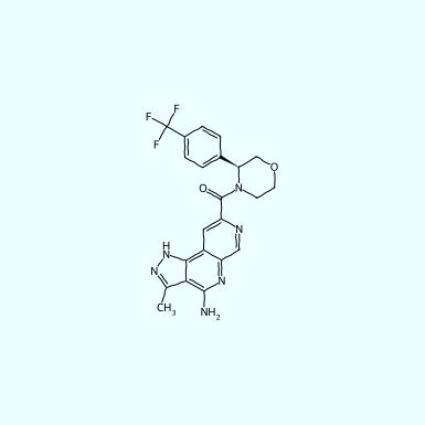 Cc1n[nH]c2c1c(N)nc1cnc(C(=O)N3CCOC[C@@H]3c3ccc(C(F)(F)F)cc3)cc12